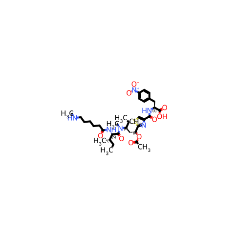 CC[C@H](C)[C@H](NC(=O)CCCCCNC)C(=O)N(C)[C@H](C[C@@H](OC(C)=O)c1nc(C(=O)N[C@@H](Cc2ccc([N+](=O)[O-])cc2)C(=O)O)cs1)C(C)C